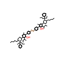 CCCCCC1CCC(c2cc(C)c(-c3ccc(SSc4ccc(-c5c(C)cc(C6CCC(CCCCC)C(C(CC)(CCC)c7ccccc7)C6)c(C(C)CC)c5O)cc4)cc3)c(O)c2C(C)CC)CC1C(CC)(CCC)c1ccccc1